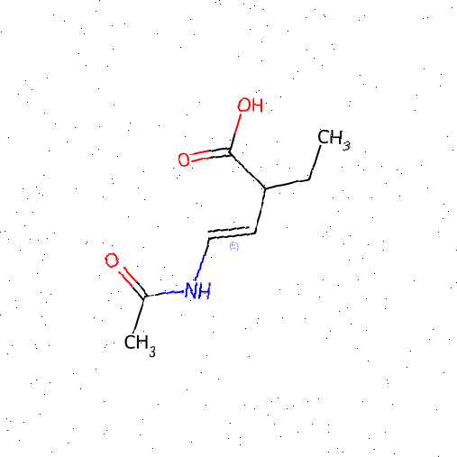 CCC(/C=C/NC(C)=O)C(=O)O